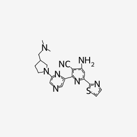 CN(C)CC1CCN(c2cncc(-c3nc(-c4nccs4)cc(N)c3C#N)n2)C1